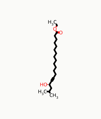 CCOC(=O)CCCCCCCCCCCCC#C[C@@H](O)CC(C)C